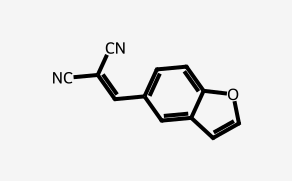 N#CC(C#N)=Cc1ccc2occc2c1